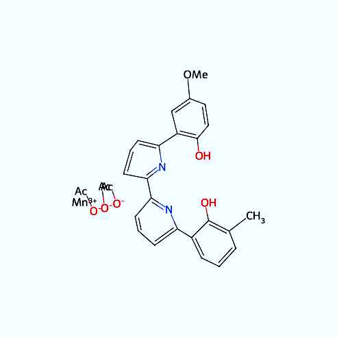 CC(=O)[O-].CC(=O)[O-].CC(=O)[O-].COc1ccc(O)c(-c2cccc(-c3cccc(-c4cccc(C)c4O)n3)n2)c1.[Mn+3]